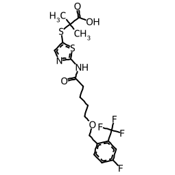 CC(C)(Sc1cnc(NC(=O)CCCCOCc2ccc(F)cc2C(F)(F)F)s1)C(=O)O